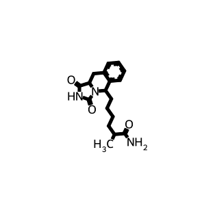 CC(CCCCC1c2ccccc2CC2C(=O)NC(=O)N21)C(N)=O